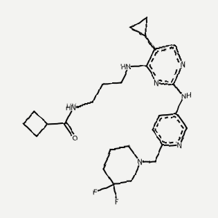 O=C(NCCCNc1nc(Nc2ccc(CN3CCCC(F)(F)C3)nc2)ncc1C1CC1)C1CCC1